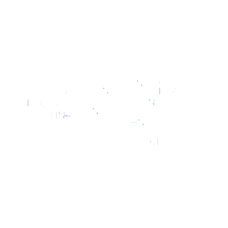 CC(=O)N[C@@H]1CCN(c2cc3c(NC(C)c4cc(F)cc(Br)c4)nc(C)nc3cn2)C1